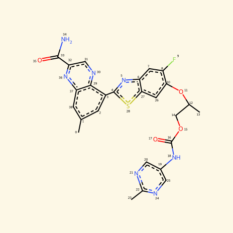 Cc1cc(-c2nc3cc(F)c(OC(C)COC(=O)Nc4cnc(C)nc4)cc3s2)c2ncc(C(N)=O)nc2c1